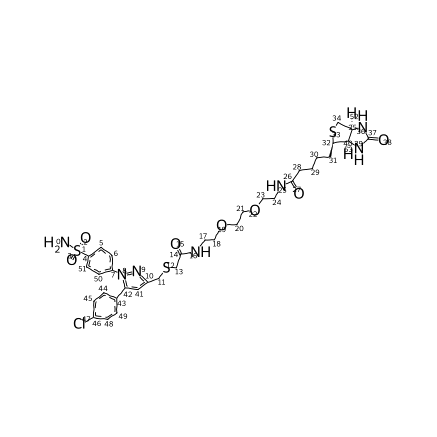 NS(=O)(=O)c1ccc(-n2nc(CSCC(=O)NCCOCCOCCNC(=O)CCCC[C@H]3SC[C@H]4NC(=O)N[C@H]43)cc2-c2ccc(Cl)cc2)cc1